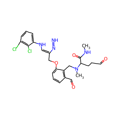 CNC(=O)C(CCC=O)N(C)Cc1c(C=O)cccc1OC/C(=C/Nc1cccc(Cl)c1Cl)N=N